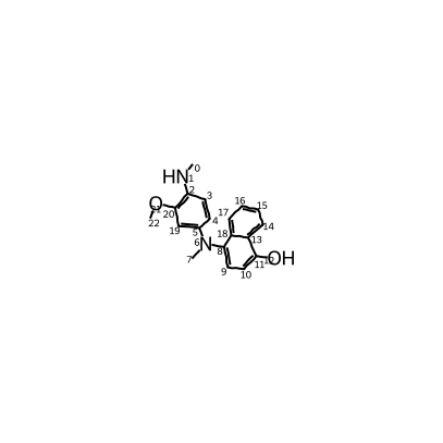 CNc1ccc(N(C)c2ccc(O)c3ccccc23)cc1OC